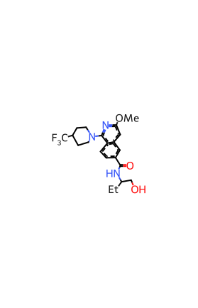 CCC(CO)NC(=O)c1ccc2c(N3CCC(C(F)(F)F)CC3)nc(OC)cc2c1